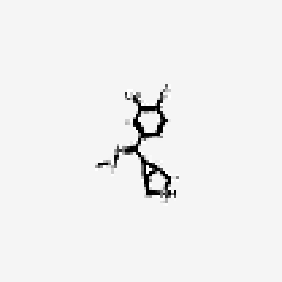 CO/N=C(/c1ccc(Cl)c(Cl)c1)C1C2CNCC21